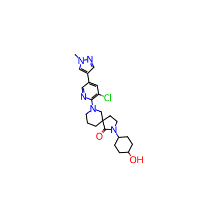 Cn1cc(-c2cnc(N3CCCC4(CCN(C5CCC(O)CC5)C4=O)C3)c(Cl)c2)cn1